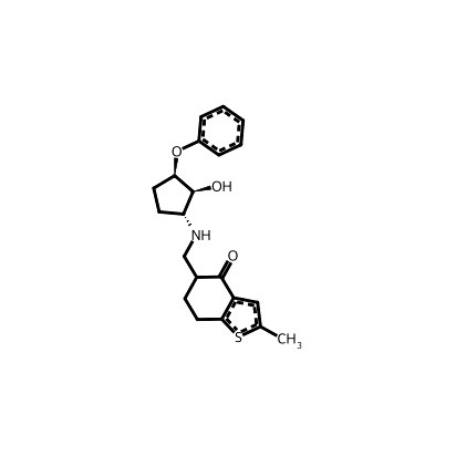 Cc1cc2c(s1)CCC(CN[C@@H]1CC[C@@H](Oc3ccccc3)[C@H]1O)C2=O